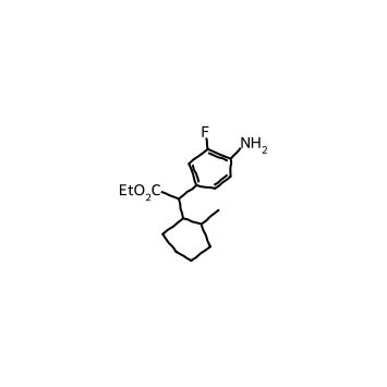 CCOC(=O)C(c1ccc(N)c(F)c1)C1CCCCC1C